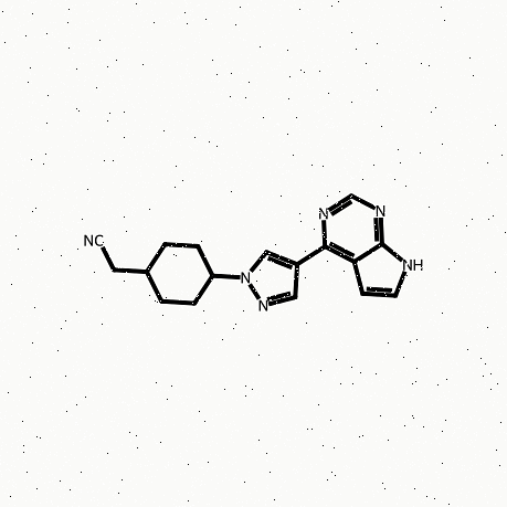 N#CCC1CCC(n2cc(-c3ncnc4[nH]ccc34)cn2)CC1